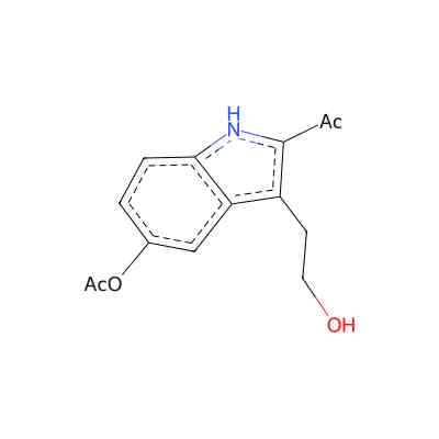 CC(=O)Oc1ccc2[nH]c(C(C)=O)c(CCO)c2c1